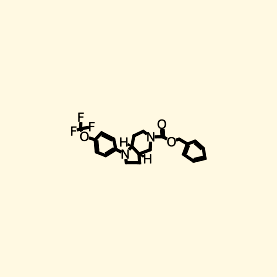 O=C(OCc1ccccc1)N1CC[C@@H]2[C@@H](CCN2c2ccc(OC(F)(F)F)cc2)C1